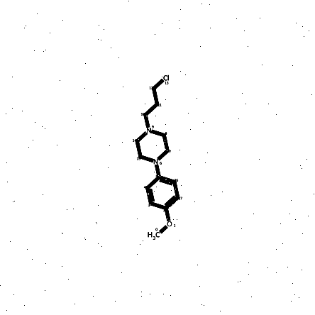 COc1ccc(N2CCN(CCCCl)CC2)cc1